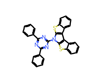 c1ccc(-c2nc(-c3ccccc3)nc(-n3c4sc5ccccc5c4c4c5ccccc5sc43)n2)cc1